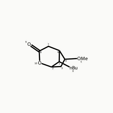 CCCCC1C2CC(OC)C1CC(=O)O2